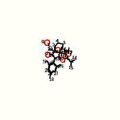 COC[C@]12CC[C@H](O1)[C@@H]1C(OC(=O)C(C)C)C(c3c(C)cc(C)cc3C)C(=O)[C@@]12C